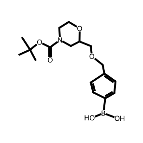 CC(C)(C)OC(=O)N1CCOC(COCc2ccc(B(O)O)cc2)C1